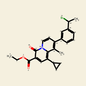 CCOC(=O)c1cc(C2CC2)c2c(C)c(-c3cccc(C(C)Br)c3)ccn2c1=O